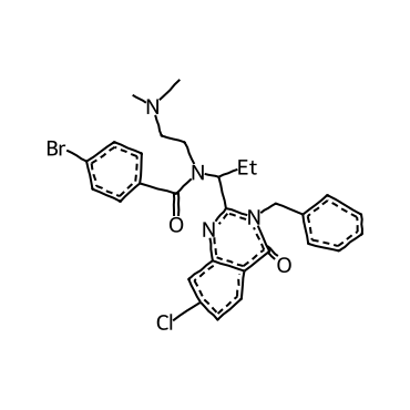 CCC(c1nc2cc(Cl)ccc2c(=O)n1Cc1ccccc1)N(CCN(C)C)C(=O)c1ccc(Br)cc1